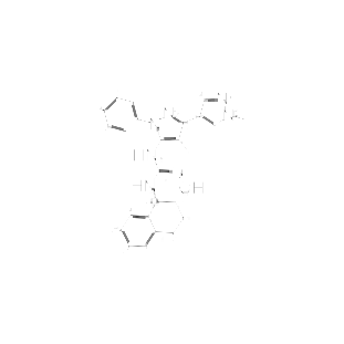 Cc1c(-c2cnn(C)c2)nn(-c2ccccc2)c1NC(=O)N[C@@H]1c2ccccc2CC[C@H]1O